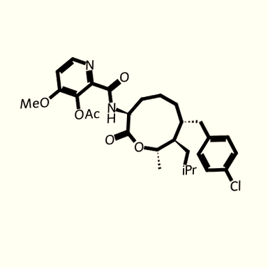 COc1ccnc(C(=O)N[C@H]2CCC[C@H](Cc3ccc(Cl)cc3)[C@@H](CC(C)C)[C@H](C)OC2=O)c1OC(C)=O